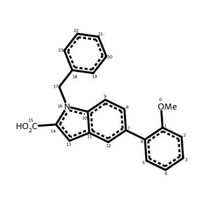 COc1ccccc1-c1ccc2c(c1)cc(C(=O)O)n2Cc1ccccc1